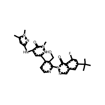 Cc1cc(Nc2cc(-c3ccnc(-n4ncc5cc(C(C)(C)C)cc(F)c5c4=O)c3CO)nn(C)c2=O)nn1C